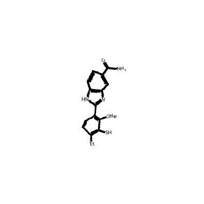 CCc1ccc(-c2nc3cc(C(N)=O)ccc3[nH]2)c(OC)c1S